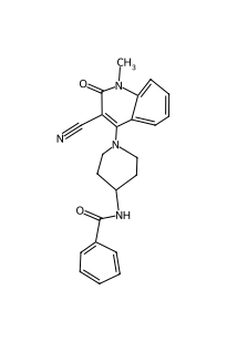 Cn1c(=O)c(C#N)c(N2CCC(NC(=O)c3ccccc3)CC2)c2ccccc21